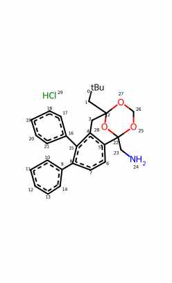 CC(C)(C)CC12Cc3c(ccc(-c4ccccc4)c3-c3ccccc3)C(CN)(OCO1)O2.Cl